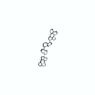 c1cc2cccc3c4cccc5c(-c6ccc7oc8ccc(-c9ccc%10oc%11cccc%12cccc(c%13cccc9c%10%13)c%12%11)c9cccc(c%10cccc6c7%10)c89)ccc(oc(c1)c23)c54